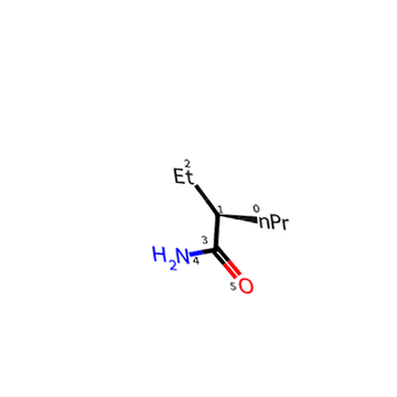 CCC[C@H](CC)C(N)=O